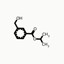 CC(C)OC(=O)c1cccc(CO)c1